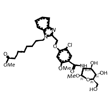 COC(=O)CCCCCCCn1c(COc2cc(OC)c(C(=O)N[C@H]3[C@@H](OC)O[C@H](CO)[C@@H](O)[C@@H]3O)cc2Cl)nc2ccccc21